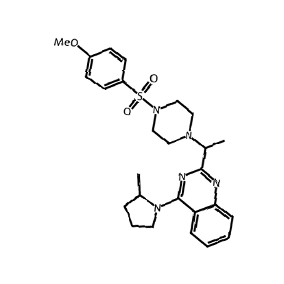 COc1ccc(S(=O)(=O)N2CCN(C(C)c3nc(N4CCCC4C)c4ccccc4n3)CC2)cc1